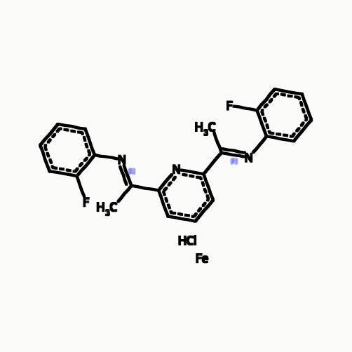 C/C(=N\c1ccccc1F)c1cccc(/C(C)=N/c2ccccc2F)n1.Cl.[Fe]